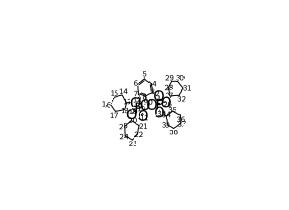 O=P(Oc1ccccc1OP(=O)(OC1CCCCC1)OC1CCCCC1)(OC1CCCCC1)OC1CCCCC1